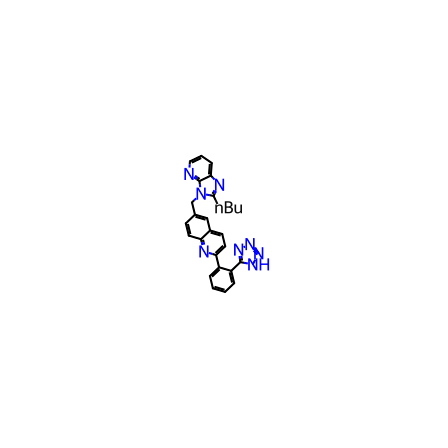 CCCCc1nc2cccnc2n1Cc1ccc2nc(-c3ccccc3-c3nnn[nH]3)ccc2c1